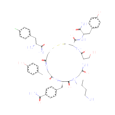 C[C@@H](O)[C@@H]1NC(=O)[C@H](CCCCN)N(C)C(=O)[C@@H](Cc2ccc(C(N)=O)cc2)NC(=O)[C@H](Cc2ccc(O)cc2)NC(=O)[C@H](NC(=O)[C@@H](N)Cc2ccc(Cl)cc2)CSSC[C@@H](C(=O)NC(Cc2ccc(O)cc2)C(N)=O)NC1=O